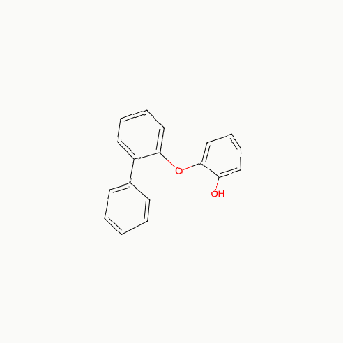 Oc1ccccc1Oc1ccccc1-c1ccccc1